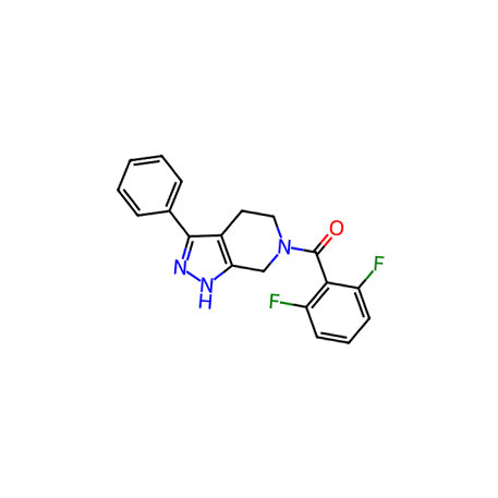 O=C(c1c(F)cccc1F)N1CCc2c(-c3ccccc3)n[nH]c2C1